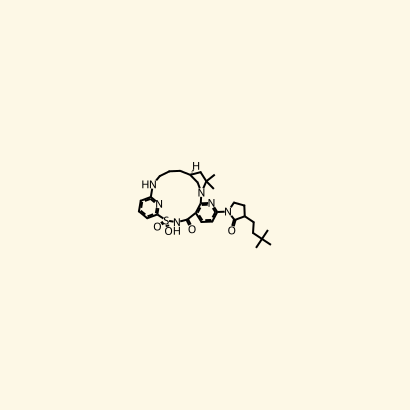 CC(C)(C)CCC1CCN(c2ccc3c(n2)N2C[C@@H](CCCNc4cccc(n4)S(=O)(=O)NC3=O)CC2(C)C)C1=O